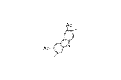 CC(=O)c1cc2c(cc1C)sc1cc(C)c(C(C)=O)cc12